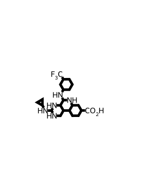 O=C(O)C1CCC2C(C1)NC(NC1CCCC(C(F)(F)F)C1)C1NC(NC3CC3)NCC21